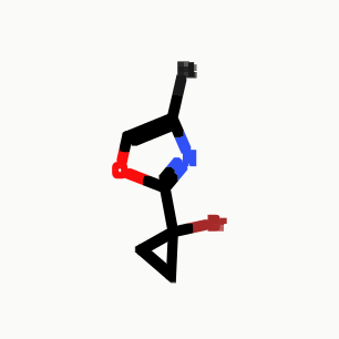 CCc1coc(C2(Br)CC2)n1